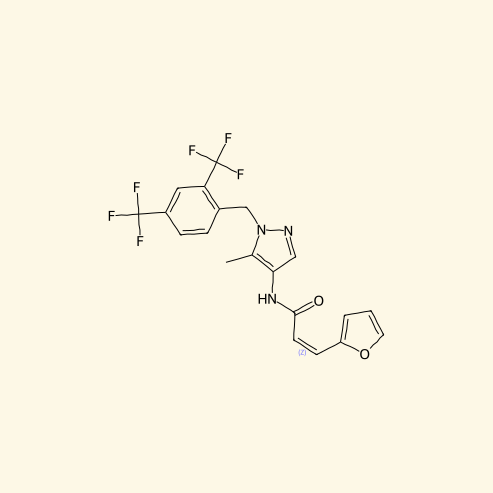 Cc1c(NC(=O)/C=C\c2ccco2)cnn1Cc1ccc(C(F)(F)F)cc1C(F)(F)F